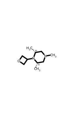 C[C@@H]1CN(C)C[C@H](C)N1C1COC1